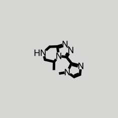 CC1CNCc2nnc(-c3nccn3C)n21